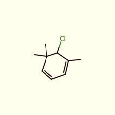 CC1=CC=CC(C)(C)C1Cl